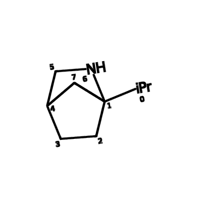 CC(C)C12CCC(CN1)C2